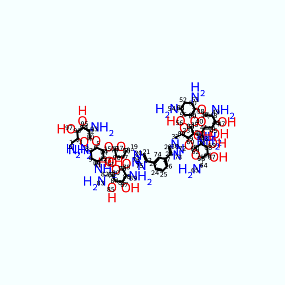 NCC1O[C@H](OC2C(N)C[C@@H](N)C(O)[C@H]2O[C@@H]2O[C@H](Cn3cc(-c4cccc(-c5cn(C[C@H]6O[C@@H](O[C@H]7C(O[C@H]8OC(CN)C(O)[C@H](O)C8N)C(N)C[C@@H](N)C7O)C(O)C6O[C@H]6O[C@@H](CN)C(O)C(O)C6N)nn5)c4)nn3)C(O[C@H]3O[C@@H](CN)C(O)C(O)C3N)C2O)C(N)[C@@H](O)C1O